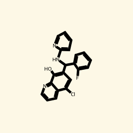 Oc1c(C(Nc2ccccn2)c2ccccc2F)cc(Cl)c2cccnc12